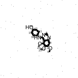 COc1cc2ncnc(Nc3ccc(O)cc3)c2c(OC)c1OC